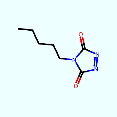 CCCCCN1C(=O)N=NC1=O